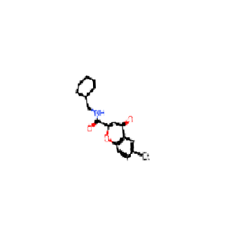 CCc1ccc2oc(C(=O)NCC3CCCCC3)cc(=O)c2c1